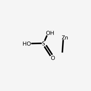 O=S(O)O.[CH3][Zn]